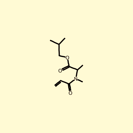 C=CC(=O)N(C)C(C)C(=O)OCC(C)C